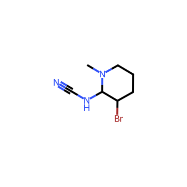 CN1CCCC(Br)C1NC#N